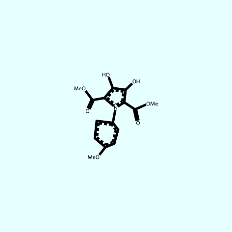 COC(=O)c1c(O)c(O)c(C(=O)OC)n1-c1ccc(OC)cc1